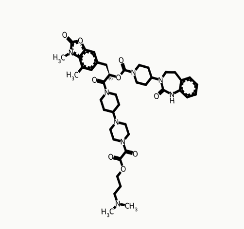 Cc1cc(C[C@@H](OC(=O)N2CCC(N3CCc4ccccc4NC3=O)CC2)C(=O)N2CCC(N3CCN(C(=O)C(=O)OCCCN(C)C)CC3)CC2)cc2oc(=O)n(C)c12